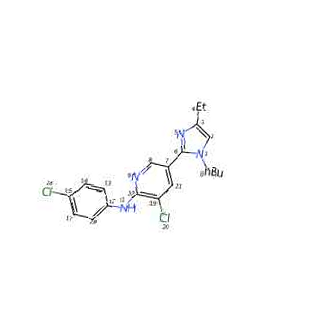 CCCCn1cc(CC)nc1-c1cnc(Nc2ccc(Cl)cc2)c(Cl)c1